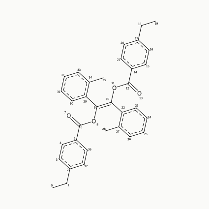 CCc1ccc(C(=O)O/C(=C(/OC(=O)c2ccc(CC)cc2)c2ccccc2C)c2ccccc2C)cc1